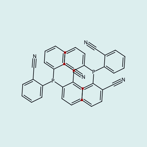 N#Cc1ccccc1P(c1ccccc1C#N)c1ccccc1-c1ccccc1P(c1ccccc1C#N)c1ccccc1C#N